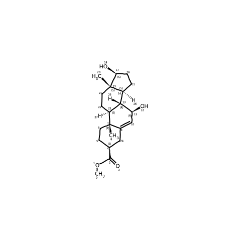 COC(=O)[C@H]1CC[C@@]2(C)C(=C[C@H](O)[C@H]3[C@@H]4CC[C@H](O)[C@@]4(C)CC[C@@H]32)C1